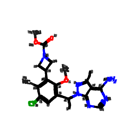 CCOc1c(C(C)n2nc(C)c3c(N)ncnc32)cc(Cl)c(C#N)c1C1CN(C(=O)OC(C)(C)C)C1